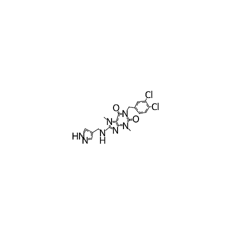 Cn1c(NCc2cn[nH]c2)nc2c1c(=O)n(Cc1ccc(Cl)c(Cl)c1)c(=O)n2C